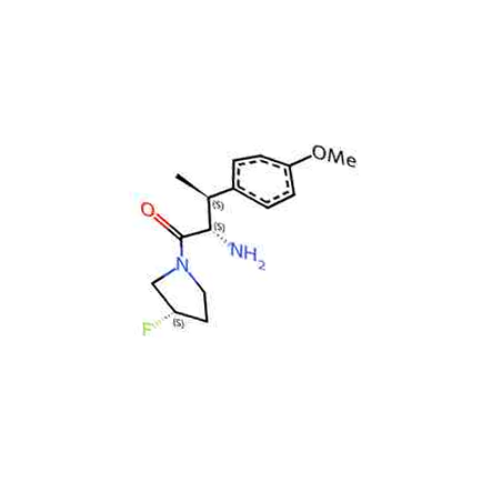 COc1ccc([C@H](C)[C@H](N)C(=O)N2CC[C@H](F)C2)cc1